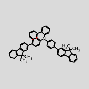 CC1(C)C2=C(C=CCC2)c2ccc(-c3ccc(N(c4ccc(-c5ccc6c(c5)C(C)(C)c5ccccc5-6)cc4)c4ccccc4-c4ccccc4)cc3)cc21